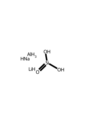 O=[Si](O)O.[AlH3].[LiH].[NaH]